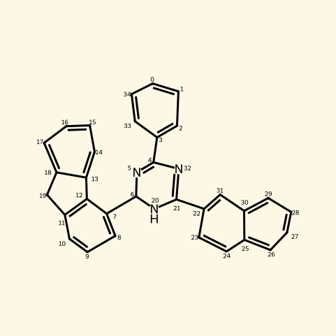 c1ccc(C2=NC(c3cccc4c3-c3ccccc3C4)NC(c3ccc4ccccc4c3)=N2)cc1